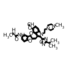 CNC(=O)Nc1ccc2c(c1)C(=O)C(=Cc1c(-c3nc(C(C)C)no3)n(CCN3CCN(C)CC3)c3ccc(OC)cc13)O2